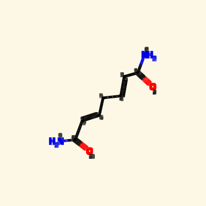 NC(=O)C=CCC=CC(N)=O